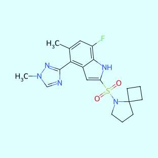 Cc1cc(F)c2[nH]c(S(=O)(=O)N3CCCC34CCC4)cc2c1-c1ncn(C)n1